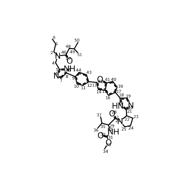 CCCN(Cc1ncc(-c2ccc(-c3cc4cc(-c5cnc(C6CCCN6C(=O)C(NC(=O)OC)C(C)C)[nH]5)ccc4o3)cc2)[nH]1)C(=O)CC(C)C